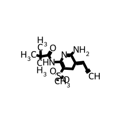 C#CC=C1CC(S(C)(=O)=O)=C(NC(=O)C(C)(C)C)N=C1N